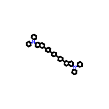 c1ccc(N(c2ccccc2)c2ccc3cc(-c4ccc(-c5ccc(-c6ccc(-c7ccc8cc(N(c9ccccc9)c9ccccc9)ccc8c7)cc6)cc5)cc4)ccc3c2)cc1